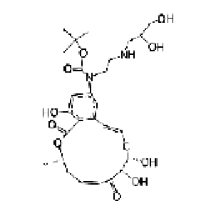 C[C@H]1C/C=C\C(=O)[C@@H](O)[C@@H](O)C/C=C/c2cc(N(CCNCC(O)CO)C(=O)OC(C)(C)C)cc(O)c2C(=O)O1